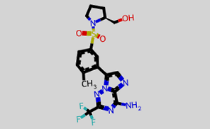 Cc1ccc(S(=O)(=O)N2CCC[C@H]2CO)cc1-c1cnc2c(N)nc(C(F)(F)F)nn12